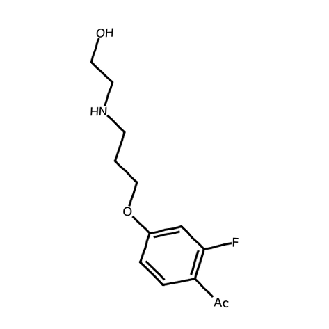 CC(=O)c1ccc(OCCCNCCO)cc1F